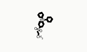 CCCS(=O)(=O)c1ccc([SH](c2ccccc2)c2ccccc2)cc1